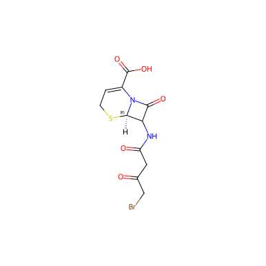 O=C(CBr)CC(=O)NC1C(=O)N2C(C(=O)O)=CCS[C@H]12